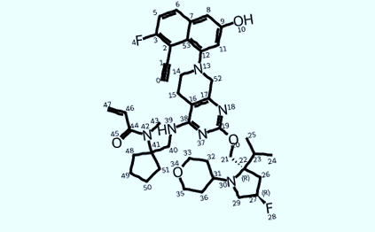 C#Cc1c(F)ccc2cc(O)cc(N3CCc4c(nc(OC[C@]5(C(C)C)C[C@@H](F)CN5C5CCOCC5)nc4NCC4(N(C)C(=O)C=C)CCCC4)C3)c12